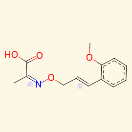 COc1ccccc1/C=C/CO/N=C(/C)C(=O)O